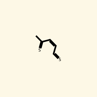 CC(=S)/C=C\C=S